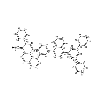 C=C1c2ccc3ccccc3c2C(c2ccc(-c3ccc(-c4nc(-c5ccncc5)cc(-c5ccncc5)n4)c4ccccc34)cc2)=CC1c1ccccc1